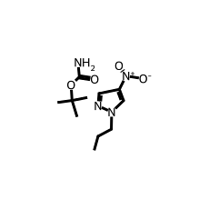 CC(C)(C)OC(N)=O.CCCn1cc([N+](=O)[O-])cn1